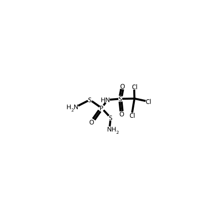 NSP(=O)(NS(=O)(=O)C(Cl)(Cl)Cl)SN